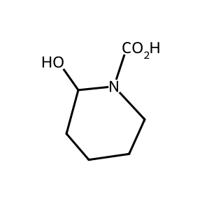 O=C(O)N1CCCCC1O